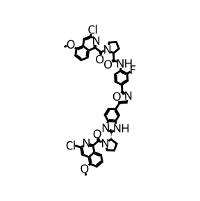 COc1cccc2c(C(=O)N3CCCC3C(=O)Nc3ccc(-c4ncc(-c5ccc6nc([C@@H]7CCCN7C(=O)c7nc(Cl)cc8c(OC)cccc78)[nH]c6c5)o4)cc3F)nc(Cl)cc12